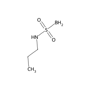 BS(=O)(=O)NCCC